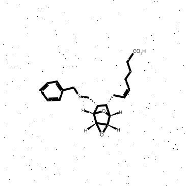 O=C(O)CCC/C=C\C[C@H]1[C@@H](CSCc2ccccc2)[C@@H]2O[C@H]1[C@@H]1O[C@@H]12